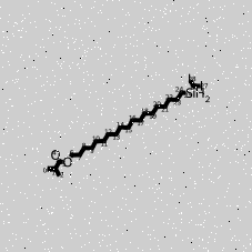 C=C(C)C(=O)OCCCCCCCCCCCCCCCCCCC[SiH2]C(I)I